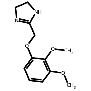 COc1cccc(OCC2=NCCN2)c1OC